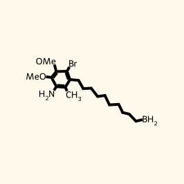 BCCCCCCCCCCc1c(C)c(N)c(OC)c(OC)c1Br